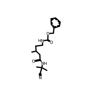 CC(CCNC(=O)OCc1ccccc1)CC(=O)NC(C)(C)C#N